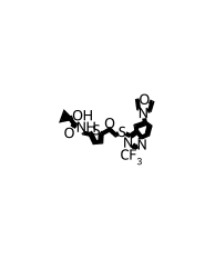 O=C(CSc1nc(C(F)(F)F)nc2ccc(N3CCOCC3)cc12)c1ccc(CNC(=O)C2(O)CC2)s1